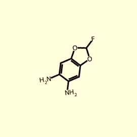 Nc1cc2c(cc1N)OC(F)O2